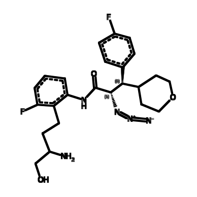 [N-]=[N+]=N[C@H](C(=O)Nc1cccc(F)c1CCC(N)CO)[C@@H](c1ccc(F)cc1)C1CCOCC1